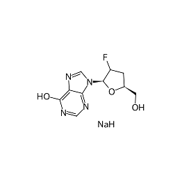 OC[C@@H]1CC(F)[C@H](n2cnc3c(O)ncnc32)O1.[NaH]